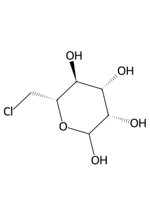 OC1O[C@H](CCl)[C@@H](O)[C@H](O)[C@@H]1O